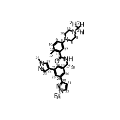 [2H]C([2H])([2H])N1CCN(c2ccc(C)c(C(=O)N[C@H](C)c3cc(-c4cnn(C)c4)cc(-c4ccn(CC)n4)c3)c2)CC1